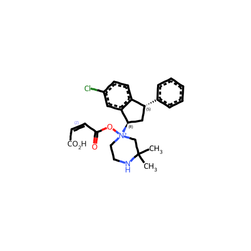 CC1(C)C[N+](OC(=O)/C=C\C(=O)O)([C@@H]2C[C@@H](c3ccccc3)c3ccc(Cl)cc32)CCN1